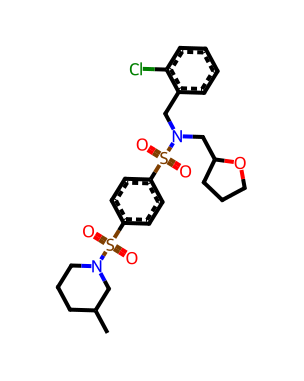 CC1CCCN(S(=O)(=O)c2ccc(S(=O)(=O)N(Cc3ccccc3Cl)CC3CCCO3)cc2)C1